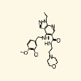 CCn1ncc2c(NCc3ccc(OC)c(Cl)c3)c(C(=O)NCCN3CCOCC3)cnc21